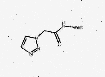 CCCC(C)NC(=O)Cn1ccnn1